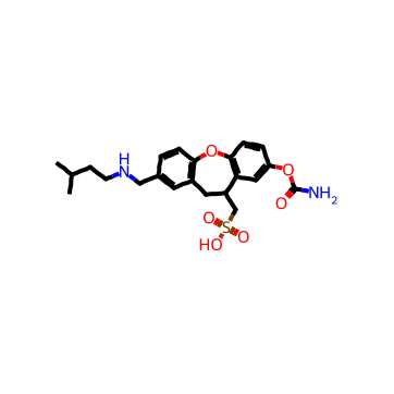 CC(C)CCNCc1ccc2c(c1)CC(CS(=O)(=O)O)c1cc(OC(N)=O)ccc1O2